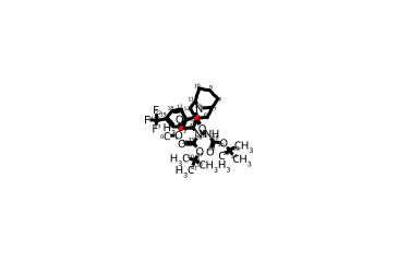 COC(=O)C(C1CC2CCCC(C1)N2C(=O)c1ccc(C(F)(F)F)cc1)N(NC(=O)OC(C)(C)C)C(=O)OC(C)(C)C